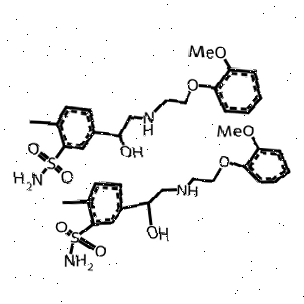 COc1ccccc1OCCNCC(O)c1ccc(C)c(S(N)(=O)=O)c1.COc1ccccc1OCCNCC(O)c1ccc(C)c(S(N)(=O)=O)c1